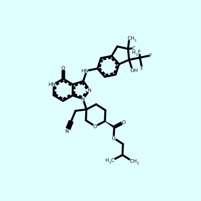 CC(C)COC(=O)[C@@H]1CCC(CC#N)(n2nc(Nc3ccc4c(c3)CC(C)(C)C4(O)C(F)(F)F)c3c(=O)[nH]ccc32)CO1